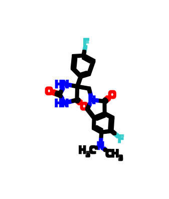 CN(C)c1cc2c(cc1F)C(=O)N(CC1(c3ccc(F)cc3)NC(=O)NC1=O)C2